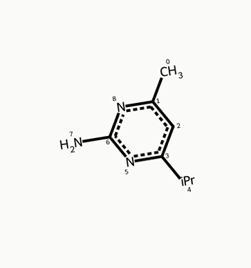 Cc1cc(C(C)C)nc(N)n1